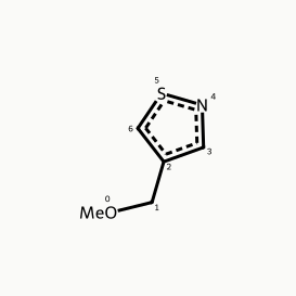 COCc1cnsc1